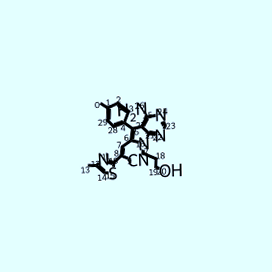 Cc1ccc(-c2c(C=C(C#N)c3nc(C)cs3)n(CCCO)c3ncnc(N)c23)cc1